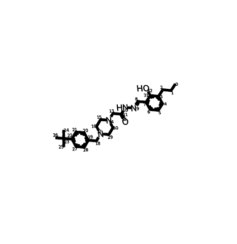 CCCc1cccc(/C=N/NC(=O)CN2CCN(Cc3ccc(C(C)(C)C)cc3)CC2)c1O